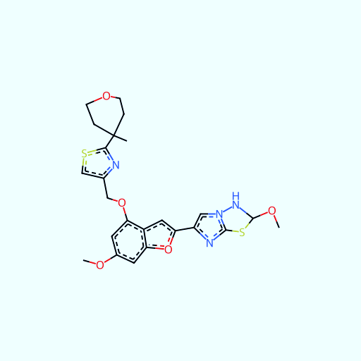 COc1cc(OCc2csc(C3(C)CCOCC3)n2)c2cc(-c3cn4c(n3)SC(OC)N4)oc2c1